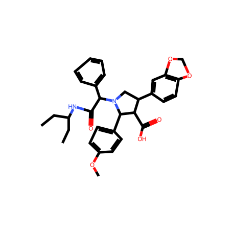 CCC(CC)NC(=O)C(c1ccccc1)N1CC(c2ccc3c(c2)OCO3)C(C(=O)O)C1c1ccc(OC)cc1